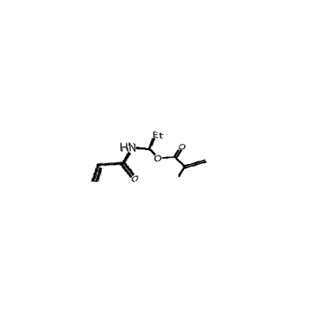 C=CC(=O)NC(CC)OC(=O)C(=C)C